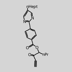 C#CC(=O)C(CCC)OC(=O)c1ccc(-c2ncc(CCCCCCC)cn2)cc1